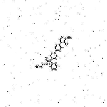 CCC(C)n1ncn(-c2ccc(N3CCN(C(C(=O)NCCC#N)c4ccccc4)CC3)cc2)c1=O